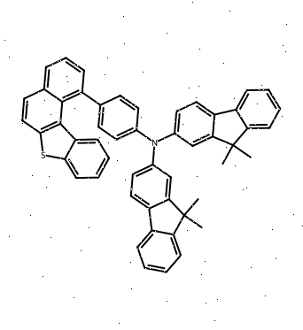 CC1(C)c2ccccc2-c2ccc(N(c3ccc(-c4cccc5ccc6sc7ccccc7c6c45)cc3)c3ccc4c(c3)C(C)(C)c3ccccc3-4)cc21